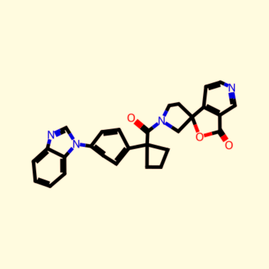 O=C1OC2(CCN(C(=O)C3(c4ccc(-n5cnc6ccccc65)cc4)CCC3)C2)c2ccncc21